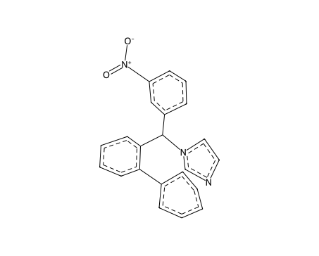 O=[N+]([O-])c1cccc(C(c2ccccc2-c2ccccc2)n2ccnc2)c1